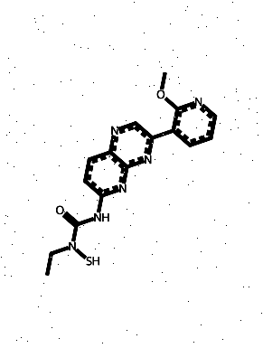 CCN(S)C(=O)Nc1ccc2ncc(-c3cccnc3OC)nc2n1